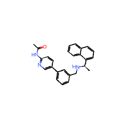 CC(=O)Nc1ccc(-c2cccc(CN[C@H](C)c3cccc4ccccc34)c2)cn1